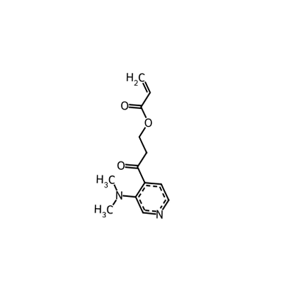 C=CC(=O)OCCC(=O)c1ccncc1N(C)C